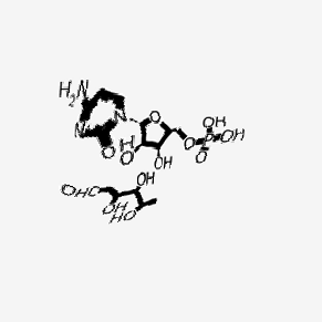 CC(O)C(O)C(O)CC=O.Nc1ccn([C@@H]2O[C@H](COP(=O)(O)O)[C@@H](O)[C@H]2O)c(=O)n1